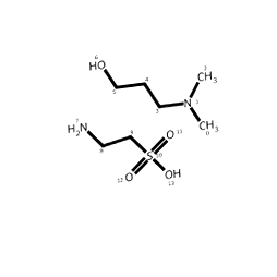 CN(C)CCCO.NCCS(=O)(=O)O